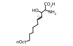 CCCCCCCCCCCCC/C=C/C(O)C(N)C(=O)O